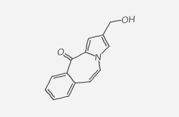 O=c1c2ccccc2ccn2cc(CO)cc12